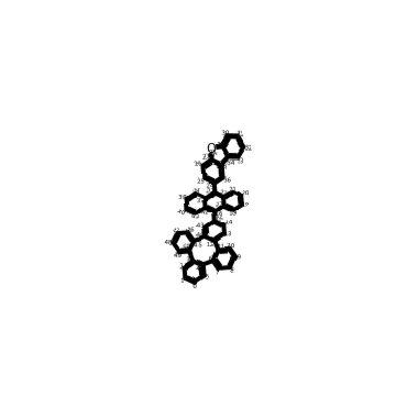 c1ccc2c(c1)-c1ccccc1-c1ccc(-c3c4ccccc4c(-c4ccc5oc6ccccc6c5c4)c4ccccc34)cc1-c1ccccc1-2